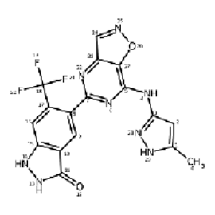 Cc1cc(Nc2nc(-c3cc4c(=O)[nH][nH]c4cc3C(F)(F)F)nc3cnoc23)n[nH]1